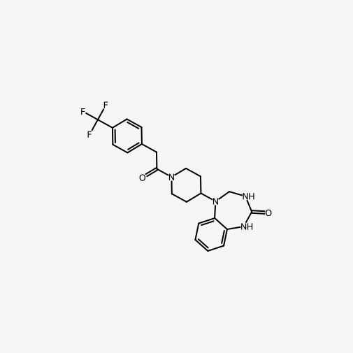 O=C1NCN(C2CCN(C(=O)Cc3ccc(C(F)(F)F)cc3)CC2)c2ccccc2N1